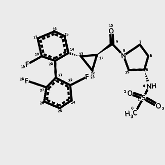 CS(=O)(=O)N[C@H]1CCN(C(=O)[C@H]2C[C@@H]2c2cccc(F)c2-c2c(F)cccc2F)C1